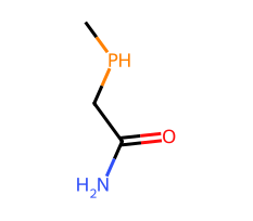 CPCC(N)=O